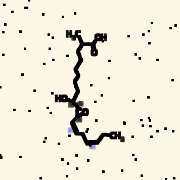 CC/C=C\C/C=C\[C@@H]1O[C@H]1[C@@H](O)CCCCCCC(C)C(=O)O